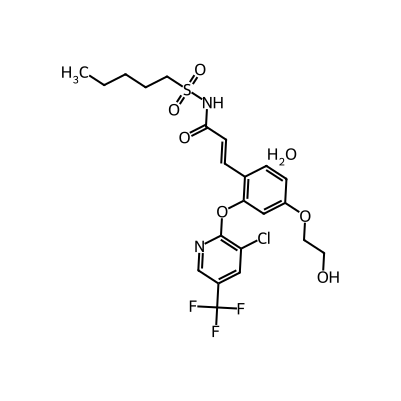 CCCCCS(=O)(=O)NC(=O)C=Cc1ccc(OCCO)cc1Oc1ncc(C(F)(F)F)cc1Cl.O